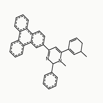 CC1C=C(C2=CC(c3ccc4c5ccccc5c5ccccc5c4c3)=NC(c3ccccc3)N2C)C=CC1